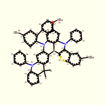 Cc1cc2c3c(c1)N(c1ccccc1)c1c(sc4ccc(C(C)(C)C)cc14)B3c1cc3c(cc1N2c1ccc(C(C)(C)C)cc1-c1ccc(C(C)(C)C)cc1)N(c1ccccc1)c1ccccc1C3(C)C